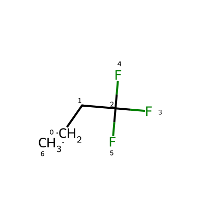 [CH2]CC(F)(F)F.[CH3]